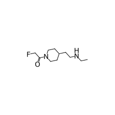 CCNCCC1CCN(C(=O)CF)CC1